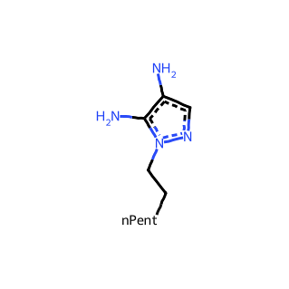 CCCCCCCn1ncc(N)c1N